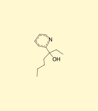 CCCCC(O)(CC)c1ccccn1